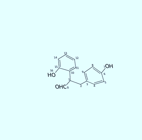 O=CC(Cc1ccc(O)cc1)c1ccccc1O